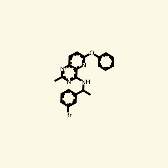 Cc1nc(NC(C)c2cccc(Br)c2)c2nc(Oc3ccccc3)ccc2n1